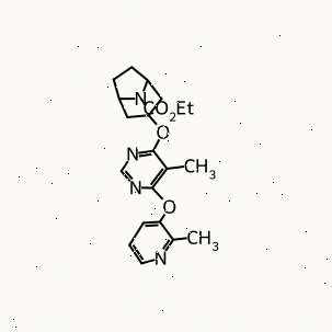 CCOC(=O)N1C2CCC1CC(Oc1ncnc(Oc3cccnc3C)c1C)C2